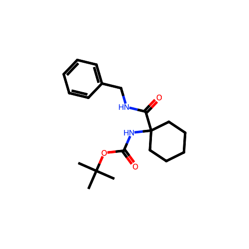 CC(C)(C)OC(=O)NC1(C(=O)NCc2ccccc2)CCCCC1